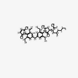 CCCCC(C)CN(C(C)=O)C1CC(=O)N(c2c(CC)cc(Cc3cc(CC)c(N4C(=O)C=CC4=O)c(CC)c3)cc2CC)C1=O